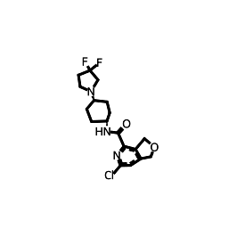 O=C(N[C@H]1CC[C@H](N2CCC(F)(F)C2)CC1)c1nc(Cl)cc2c1COC2